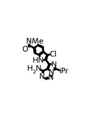 CNC(=O)c1ccc2c(Cl)c(-c3nc(C(C)C)n4ncnc(N)c34)[nH]c2c1